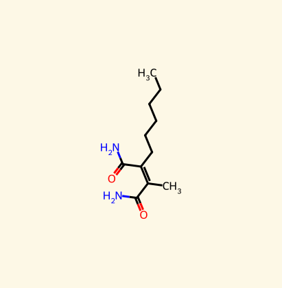 CCCCCC/C(C(N)=O)=C(\C)C(N)=O